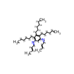 C/C=C/C=N\c1cc(/N=C/C=C/C)c(CCCCCC)c(CCCCCC)c1CCCCCC